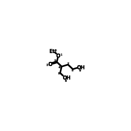 CCOC(=O)C(CO)CCO